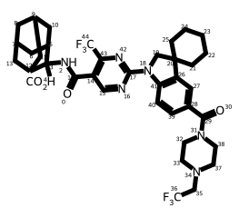 O=C(NC1(C(=O)O)C2CC3CC(C2)CC1C3)c1cnc(N2CC3(CCCCC3)c3cc(C(=O)N4CCN(CC(F)(F)F)CC4)ccc32)nc1C(F)(F)F